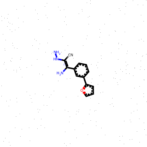 N#C/C(NN)=C(/N)c1cccc(-c2ccco2)c1